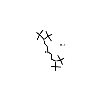 CC(C)(C)P(CCNCCP(C(C)(C)C)C(C)(C)C)C(C)(C)C.[Ru+2]